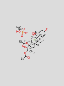 CCC(=O)OCC(=O)[C@@]1(OC(=O)CC)[C@@H](C)C[C@H]2[C@@H]3CCC4=CC(=O)C=C[C@]4(C)C3(F)[C@@H](O)C[C@@]21C.O=P([O-])([O-])O.[Na+].[Na+]